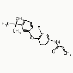 C=CC(=O)Nc1ccc(Oc2cccc(C(C)(C)C)c2)c(F)c1